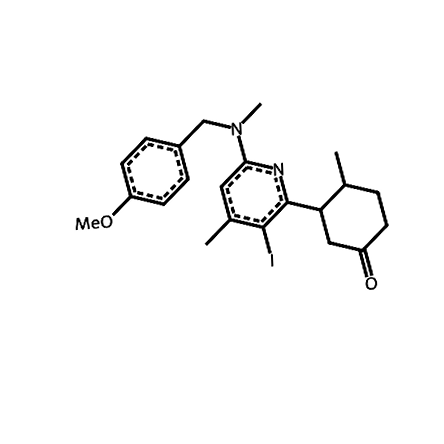 COc1ccc(CN(C)c2cc(C)c(I)c(C3CC(=O)CCC3C)n2)cc1